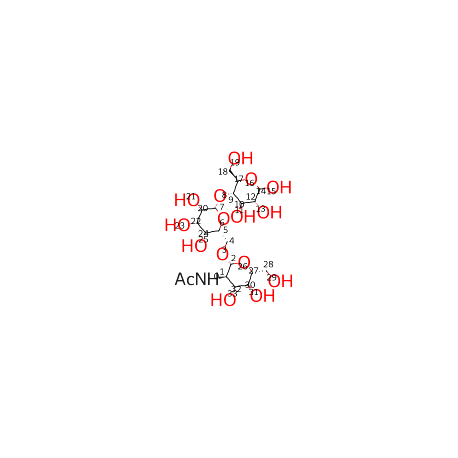 CC(=O)N[C@H]1[C@H](OC[C@H]2O[C@@H](O[C@H]3[C@H](O)[C@@H](O)C(O)O[C@@H]3CO)C(O)[C@@H](O)[C@H]2O)O[C@H](CO)[C@@H](O)[C@@H]1O